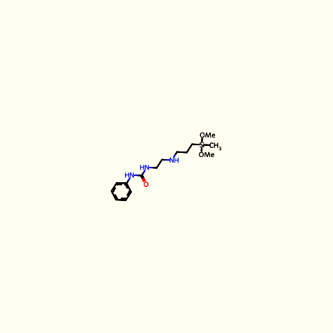 CO[Si](C)(CCCNCCNC(=O)Nc1ccccc1)OC